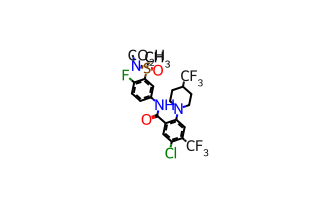 CS(=O)(=NC(=O)O)c1cc(NC(=O)c2cc(Cl)c(C(F)(F)F)cc2N2CCC(C(F)(F)F)CC2)ccc1F